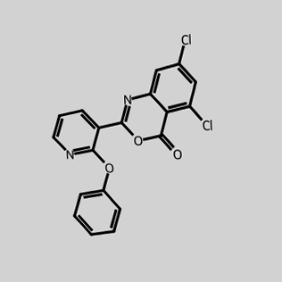 O=c1oc(-c2cccnc2Oc2ccccc2)nc2cc(Cl)cc(Cl)c12